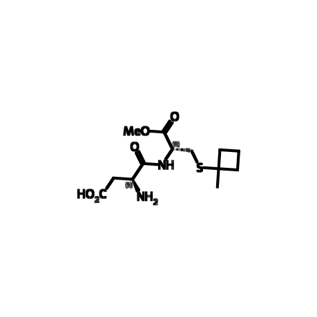 COC(=O)[C@H](CSC1(C)CCC1)NC(=O)[C@@H](N)CC(=O)O